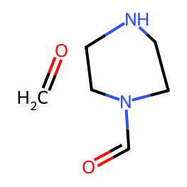 C=O.O=CN1CCNCC1